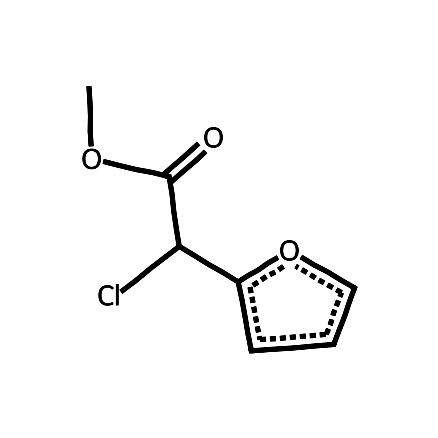 COC(=O)C(Cl)c1ccco1